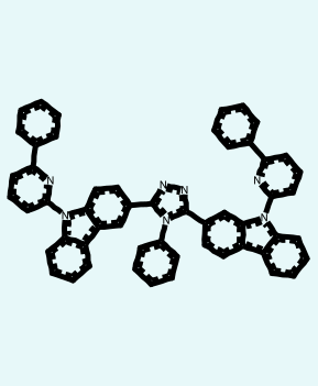 c1ccc(-c2cccc(-n3c4ccccc4c4cc(-c5nnc(-c6ccc7c8ccccc8n(-c8cccc(-c9ccccc9)n8)c7c6)n5-c5ccccc5)ccc43)n2)cc1